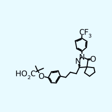 CC(C)(Oc1ccc(CCCC2=NN(c3ccc(C(F)(F)F)cc3)C(=O)C23CCCC3)cc1)C(=O)O